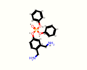 NCc1ccc(OP(=O)(Oc2ccccc2)Oc2ccccc2)cc1CN